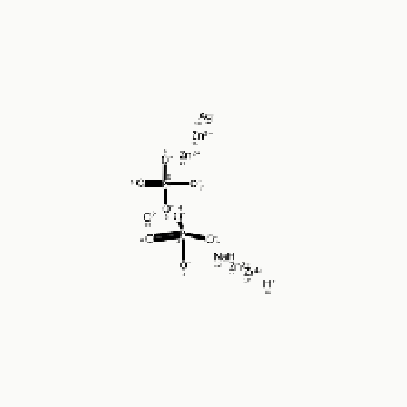 O=P([O-])([O-])[O-].O=P([O-])([O-])[O-].[Ag].[H+].[NaH].[O-2].[Zn+2].[Zn+2].[Zn+2].[Zr+4]